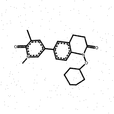 Cc1cc(-c2ccc3c(c2)CCC(=O)N3OC2CCCCC2)cn(C)c1=O